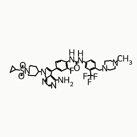 CN1CCN(Cc2ccc(NC(=O)Nc3ccc(-c4cn(C5CCN(S(=O)(=O)C6CC6)CC5)c5ncnc(N)c45)cc3F)cc2C(F)(F)F)CC1